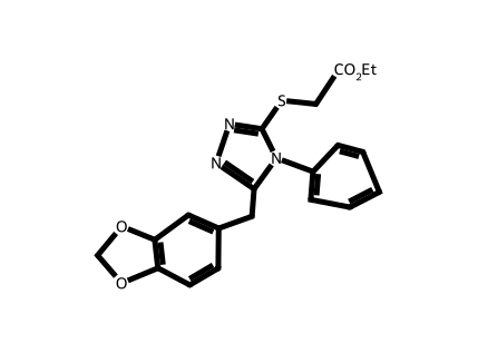 CCOC(=O)CSc1nnc(Cc2ccc3c(c2)OCO3)n1-c1ccccc1